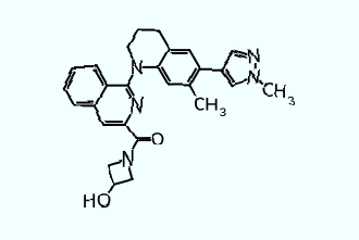 Cc1cc2c(cc1-c1cnn(C)c1)CCCN2c1nc(C(=O)N2CC(O)C2)cc2ccccc12